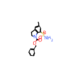 Cc1cc2c(c(S(N)(=O)=O)c1)N(C(=O)OCc1ccccc1)CC2